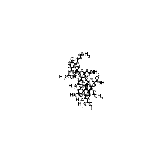 CC(C)C[C@H](NC(=O)[C@H](CCCCN)NC(=O)[C@H](CC(C)C)NC(=O)[C@H](CCC(=O)O)NC(=O)[C@H](CC(C)C)NC(=O)[C@H](CCC(=O)O)NC(=O)[C@@H](N)CC(C)C)C(=O)N[C@@H](CCCCN)C(=O)O